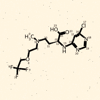 CN(CCOCC(F)(F)F)CC[C@H](Nc1cc(Cl)ncn1)C(=O)O